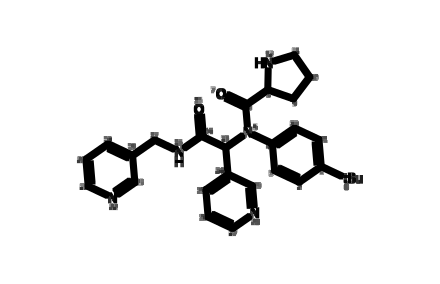 CC(C)(C)c1ccc(N(C(=O)C2CCCN2)C(C(=O)NCc2cccnc2)c2cccnc2)cc1